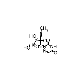 CC#CC1(Cl)[C@@H](O)[C@@H](CO)O[C@H]1n1ncc(=O)[nH]c1=O